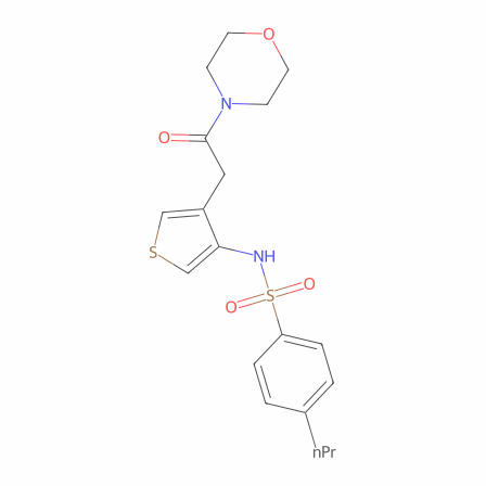 CCCc1ccc(S(=O)(=O)Nc2cscc2CC(=O)N2CCOCC2)cc1